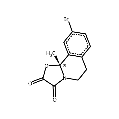 C[C@]12OC(=O)C(=O)N1CCc1ccc(Br)cc12